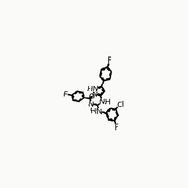 O=C(/N=C(/Nc1cc(F)cc(Cl)c1)Nc1cc(-c2ccc(F)cc2)[nH]n1)c1ccc(F)cc1